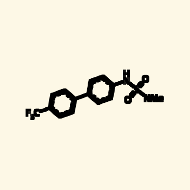 CNS(=O)(=O)Nc1ccc(-c2ccc(C(F)(F)F)cc2)cc1